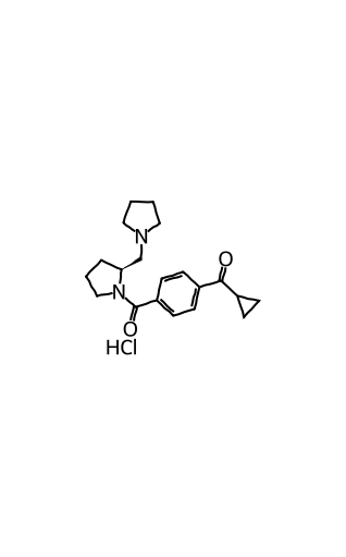 Cl.O=C(c1ccc(C(=O)N2CCC[C@H]2CN2CCCC2)cc1)C1CC1